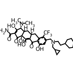 CN(C)[C@@H]1C(O)=C(C(N)=O)C(=O)[C@@]2(O)C(O)=C3C(=O)c4c(O)cc(CN(CCC5CCCCC5)CC5CC5)c(C(F)(F)F)c4C[C@H]3C[C@@H]12